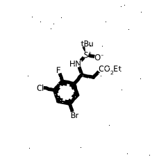 CCOC(=O)CC(N[S@+]([O-])C(C)(C)C)c1cc(Br)cc(Cl)c1F